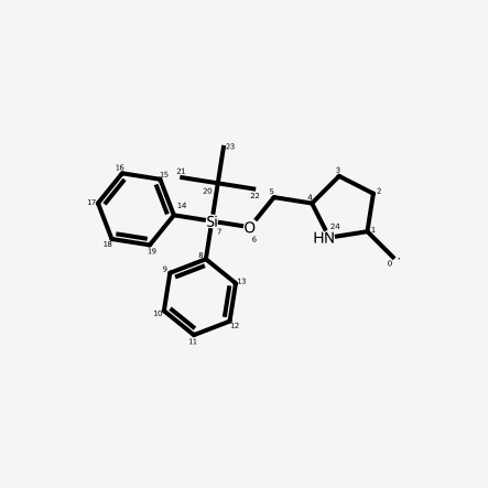 [CH2]C1CCC(CO[Si](c2ccccc2)(c2ccccc2)C(C)(C)C)N1